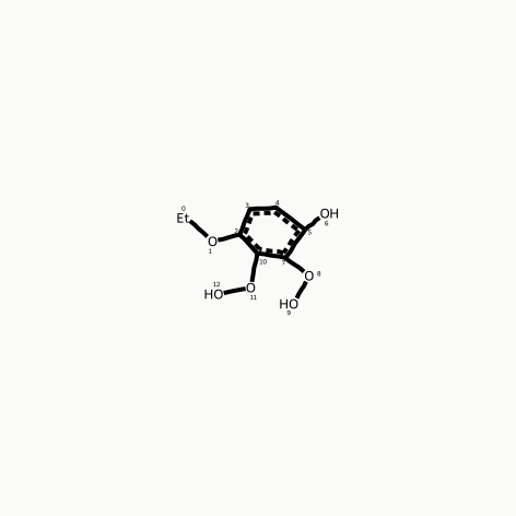 CCOc1ccc(O)c(OO)c1OO